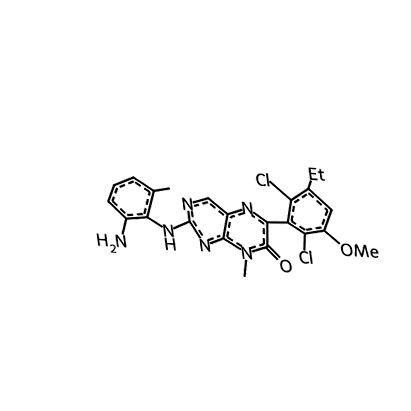 CCc1cc(OC)c(Cl)c(-c2nc3cnc(Nc4c(C)cccc4N)nc3n(C)c2=O)c1Cl